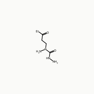 CCC(=O)CCN(N)C(=O)NN